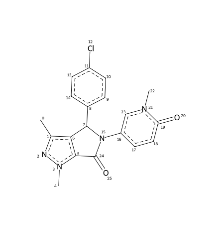 Cc1nn(C)c2c1C(c1ccc(Cl)cc1)N(c1ccc(=O)n(C)c1)C2=O